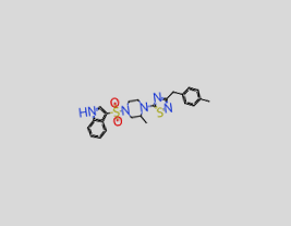 Cc1ccc(Cc2nsc(N3CCN(S(=O)(=O)c4c[nH]c5ccccc45)CC3C)n2)cc1